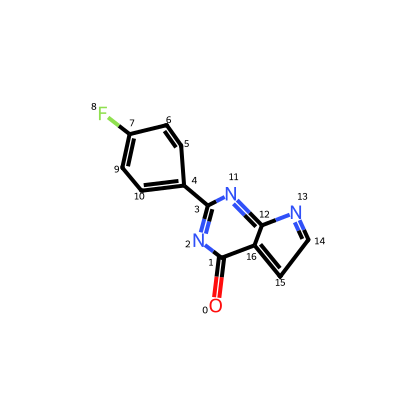 O=C1N=C(c2ccc(F)cc2)N=C2N=CC=C12